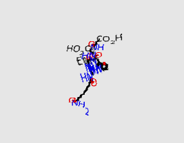 CC[C@H](C(=O)N[C@H](Cc1c[nH]c2ccccc12)C(=O)NCC[C@@H](NC(=O)CCCC(=O)O)C(=O)O)C1N2C(CNC(=O)CCCCCCCCCCC(N)=O)N12